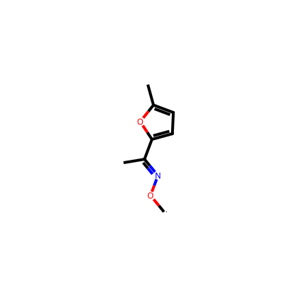 [CH2]ON=C(C)c1ccc(C)o1